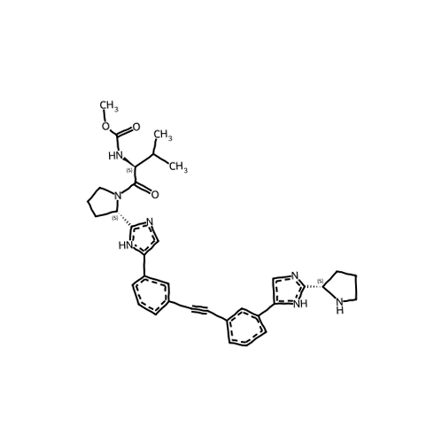 COC(=O)N[C@H](C(=O)N1CCC[C@H]1c1ncc(-c2cccc(C#Cc3cccc(-c4cnc([C@@H]5CCCN5)[nH]4)c3)c2)[nH]1)C(C)C